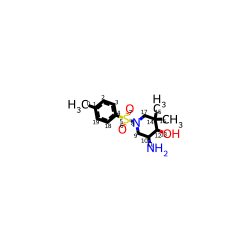 Cc1ccc(S(=O)(=O)N2CC(N)C(O)C(C)(C)C2)cc1